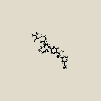 CCC(=O)C(=O)N1CCCC(C2=C3C=NC=C[N+]3(N)C(c3ccc(C(=O)Nc4cc(C5CC5)ccn4)cc3)=N2)C1